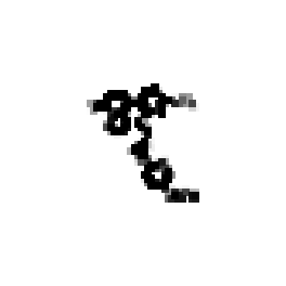 COc1ccc([C@H]2C[C@@H]2COc2nc(C)ncc2-c2ccc(=O)n3c2CCC3)nc1